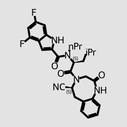 CCCN(C(=O)c1cc2c(F)cc(F)cc2[nH]1)[C@@H](CC(C)C)C(=O)N1CC(=O)Nc2ccccc2C[C@H]1C#N